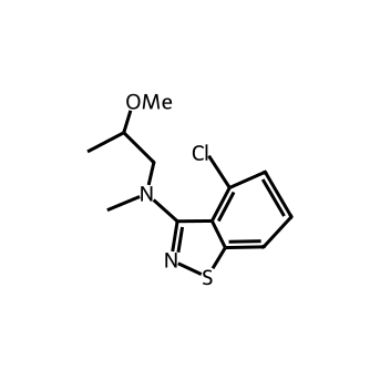 COC(C)CN(C)c1nsc2cccc(Cl)c12